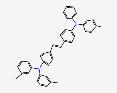 Cc1ccc(N(c2ccccc2)c2ccc(/C=C/c3ccc(N(c4cccc(C)c4)c4cccc(C)c4)cc3)cc2)cc1